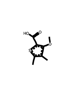 COc1c(C(=O)O)sc(C)c1C